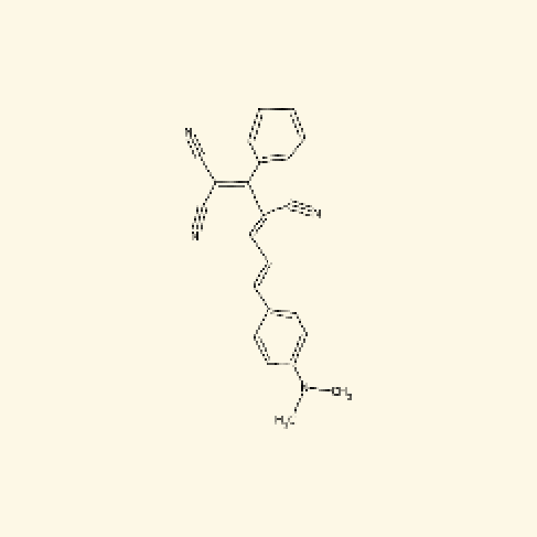 CN(C)c1ccc(/C=C/C=C(\C#N)C(=C(C#N)C#N)c2ccccc2)cc1